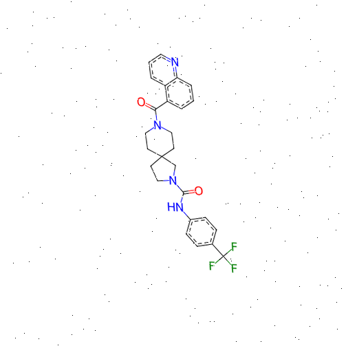 O=C(Nc1ccc(C(F)(F)F)cc1)N1CCC2(CCN(C(=O)c3cccc4ncccc34)CC2)C1